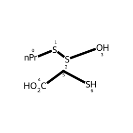 CCCSSO.O=C(O)CS